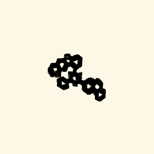 c1ccc(-c2nc(-c3ccc4c(ccc5ccccc54)c3)nc(-c3cccc4oc5cc6cccnc6cc5c34)n2)cc1